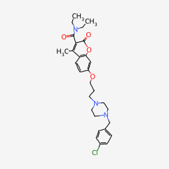 CCN(CC)C(=O)c1c(C)c2ccc(OCCCN3CCN(Cc4ccc(Cl)cc4)CC3)cc2oc1=O